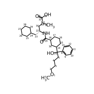 COCCCCC(O)(c1ccccc1)C1CCCC(C(=O)N[C@H](CC2CCCCC2)CN(C)C(=O)O)C1